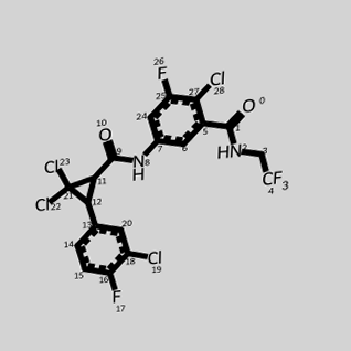 O=C(NCC(F)(F)F)c1cc(NC(=O)C2C(c3ccc(F)c(Cl)c3)C2(Cl)Cl)cc(F)c1Cl